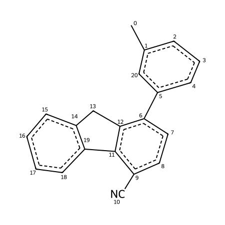 Cc1cccc(-c2ccc(C#N)c3c2Cc2ccccc2-3)c1